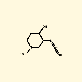 N=[N+]=NC1CN(C(=O)[O-])CCC1O